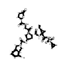 C=CC1CC1(NC(=O)[C@@H]1CC(OC(=O)N2Cc3cccc(F)c3C2)CN1C(=O)CNC(=O)[C@H]1CCC(=O)O1)C(=O)NS(=O)(=O)C1CC1